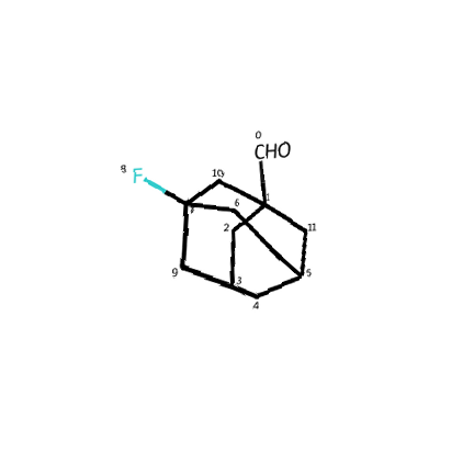 O=CC12CC3CC(CC(F)(C3)C1)C2